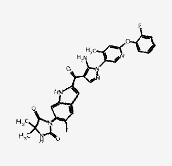 Cc1cc(Oc2ccccc2F)ncc1-n1ncc(C(=O)c2cc3cc(F)c(N4C(=O)NC(C)(C)C4=O)cc3[nH]2)c1N